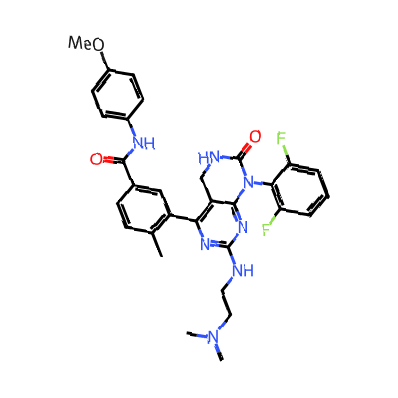 COc1ccc(NC(=O)c2ccc(C)c(-c3nc(NCCN(C)C)nc4c3CNC(=O)N4c3c(F)cccc3F)c2)cc1